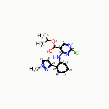 CC(C)OC(=O)c1cnc(Cl)nc1Nc1ccccc1-c1ccn(C)n1